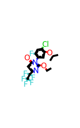 CCOc1nc(C(F)(F)C(F)(F)F)cc(=O)n1-c1cc(OC(C)C)c(Cl)cc1F